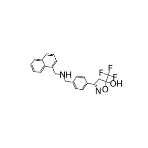 OC1(C(F)(F)F)CC(c2ccc(CNCc3cccc4ccccc34)cc2)=NO1